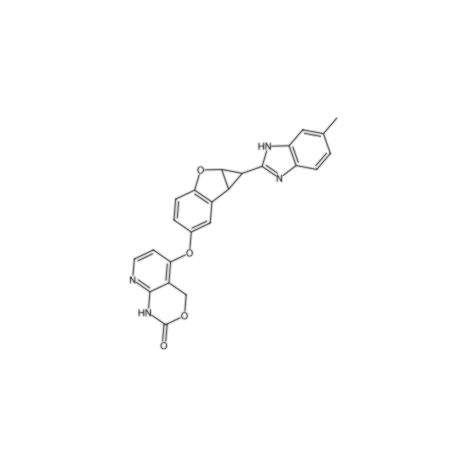 Cc1ccc2nc(C3C4Oc5ccc(Oc6ccnc7c6COC(=O)N7)cc5C43)[nH]c2c1